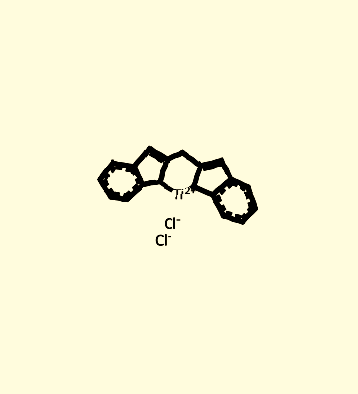 C1=C2CC3=Cc4ccccc4[CH]3[Ti+2][CH]2c2ccccc21.[Cl-].[Cl-]